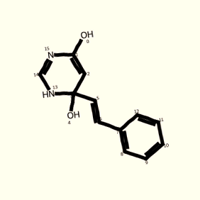 OC1=CC(O)(C=Cc2ccccc2)NC=N1